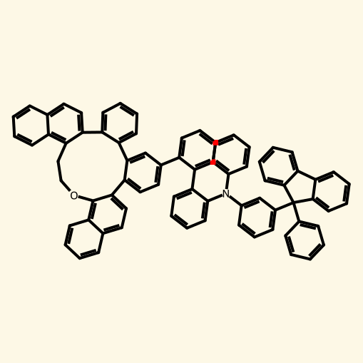 c1ccc(N(c2cccc(C3(c4ccccc4)c4ccccc4-c4ccccc43)c2)c2ccccc2-c2ccccc2-c2ccc3c(c2)-c2ccccc2-c2ccc4ccccc4c2CCOc2c-3ccc3ccccc23)cc1